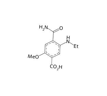 CCNc1cc(C(=O)O)c(OC)cc1C(N)=O